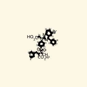 CN(C(Cc1ccccc1)C(=O)O)S(=O)(=O)c1ccc(N(CC(=O)O)c2nc(-c3ccccc3)c3cc(Br)ccc3n2)cc1